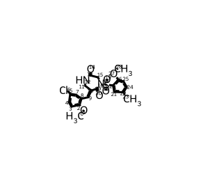 COc1ccc(Cl)cc1C=C1CNC(=O)CN(S(=O)(=O)c2cc(C)ccc2OC)C1=O